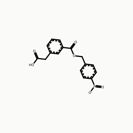 O=C(O)Cc1cccc(C(=O)OCc2ccc([N+](=O)[O-])cc2)c1